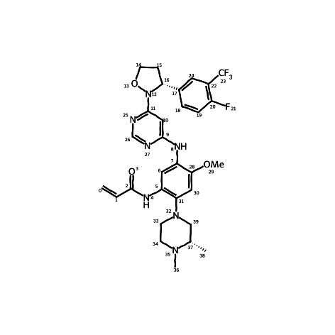 C=CC(=O)Nc1cc(Nc2cc(N3OCC[C@@H]3c3ccc(F)c(C(F)(F)F)c3)ncn2)c(OC)cc1N1CCN(C)[C@@H](C)C1